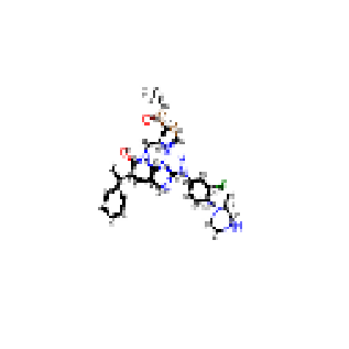 C=C(c1ccccc1)c1cc2cnc(Nc3ccc(N4CCNCC4C)c(F)c3)nc2n(Cc2ncsc2[S+]([O-])CC(F)(F)F)c1=O